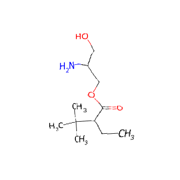 CCC(C(=O)OCC(N)CO)C(C)(C)C